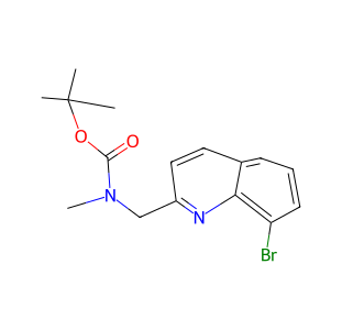 CN(Cc1ccc2cccc(Br)c2n1)C(=O)OC(C)(C)C